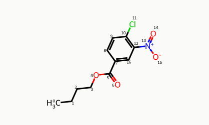 CCCCOC(=O)c1ccc(Cl)c([N+](=O)[O-])c1